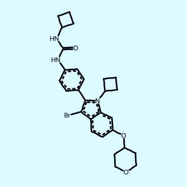 O=C(Nc1ccc(-c2c(Br)c3ccc(OC4CCOCC4)cc3n2C2CCC2)cc1)NC1CCC1